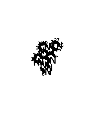 [c]1nc(-c2nccnn2)c(-c2cccnn2)c(-c2ncccn2)c1-c1cnccn1